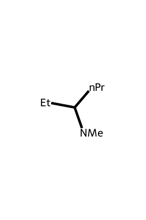 [CH2]CCC(CC)NC